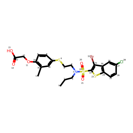 CCCN(CCSc1ccc(OCC(=O)O)c(C)c1)S(=O)(=O)c1sc2ccc(Cl)cc2c1Br